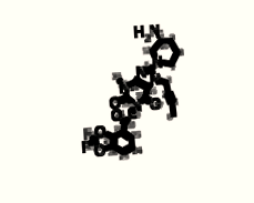 CC#CCn1c(N2CCC[C@@H](N)C2)nc2c1c(=O)n(CC(=O)c1cccc3c1OC(F)(F)O3)c(=O)n2C